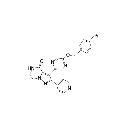 CC(C)c1ccc(COc2cnc(-c3c(-c4ccncc4)nn4c3C(=O)NCC4)cn2)cc1